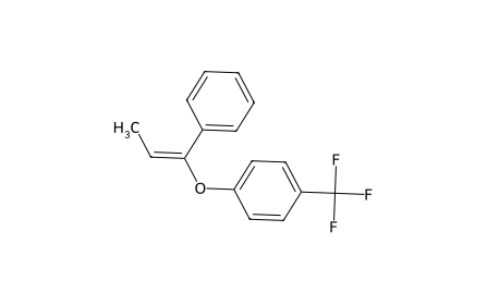 CC=C(Oc1ccc(C(F)(F)F)cc1)c1ccccc1